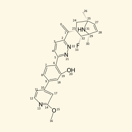 C=C(c1ccc(-c2ccc(-c3ccnc(OC)c3)cc2O)nn1)[C@@H]1C[C@@]2(C)C=C[C@](C)(N2)[C@@H]1F